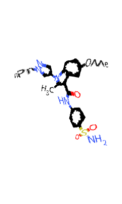 CCCn1cc(-n2c(C)c(C(=O)Nc3ccc(S(N)(=O)=O)cc3)c3cc(OC)ccc32)cn1